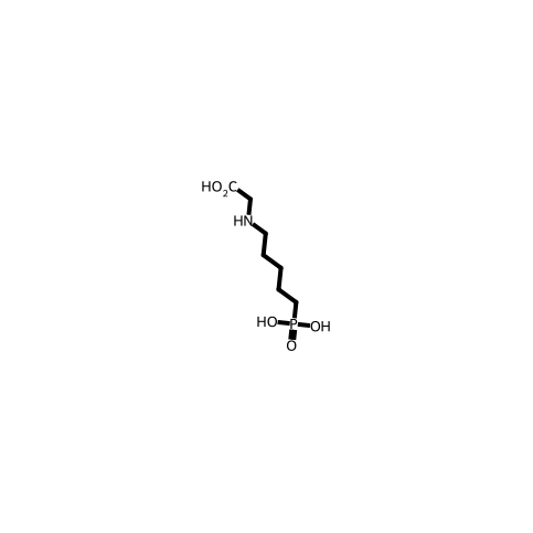 O=C(O)CNCCCCCP(=O)(O)O